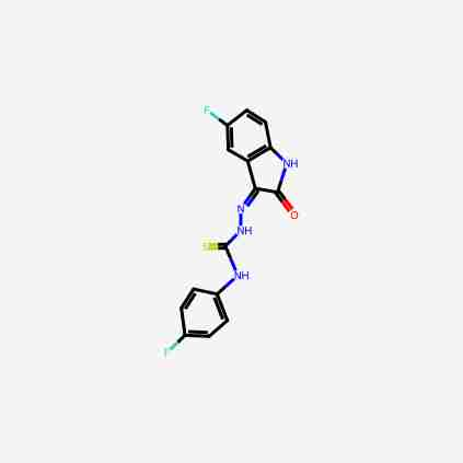 O=C1Nc2ccc(F)cc2/C1=N/NC(=S)Nc1ccc(F)cc1